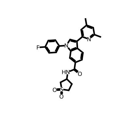 Cc1cc(C)nc(-c2cn(-c3ccc(F)cc3)c3cc(C(=O)NC4CCS(=O)(=O)C4)ccc23)c1